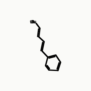 CC(C)(C)C=CC=Cc1ccccc1